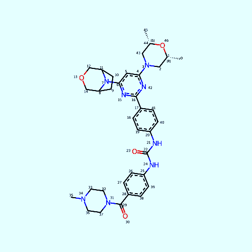 C[C@@H]1CN(c2cc(N3C4CCC3COC4)nc(-c3ccc(NC(=O)Nc4ccc(C(=O)N5CCN(C)CC5)cc4)cc3)n2)C[C@H](C)O1